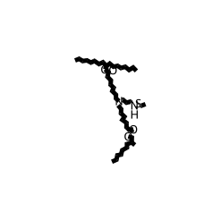 CCCCCCCCC(CCCCCCCC)OC(=O)CCCCCCCN(CCCCCCCC(=O)OCC(C)CCCCCCC)CCCNSCC